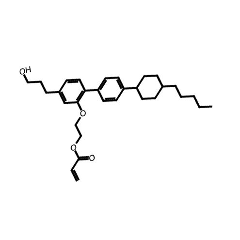 C=CC(=O)OCCOc1cc(CCCO)ccc1-c1ccc(C2CCC(CCCCC)CC2)cc1